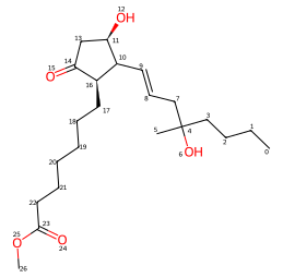 CCCCC(C)(O)C/C=C/C1[C@H](O)CC(=O)[C@@H]1CCCCCCC(=O)OC